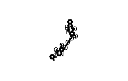 COc1cc2c(cc1OCCOCCOc1cc3c(cc1OC)C(=O)N1Cc4ccccc4C[C@H]1C=N3)N=C[C@H](Cc1ccccc1C)N(C)C2=O